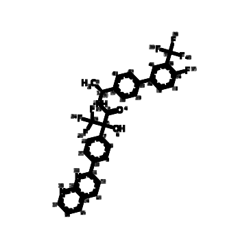 C[C@H](NC(=O)C(O)(c1ccc(-c2ccc3cccnc3n2)cc1)C(F)(F)F)c1ccc(-c2ccc(F)c(C(F)(F)F)c2)cc1